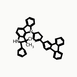 CC1(C)c2c(ccc3c4ccccc4n(C4=CC=C(c5ccc6c7ccccc7c7ccccc7c6c5)CC4)c23)NC1c1ccccc1